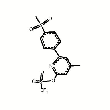 Cc1cc(OS(=O)(=O)C(F)(F)F)nc(-c2ccc(S(C)(=O)=O)cc2)c1